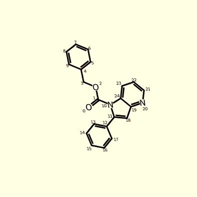 O=C(OCc1ccccc1)n1c(-c2ccccc2)cc2ncccc21